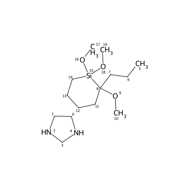 C1CNCN1.CCCC1(OC)CCCC[Si]1(OC)OC